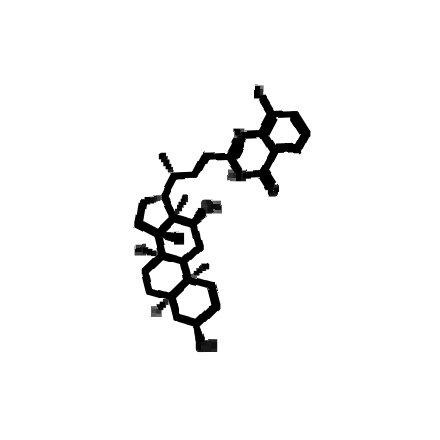 C[C@H](CCc1nc2c(F)cccc2c(=O)[nH]1)[C@H]1CC[C@H]2[C@@H]3CC[C@@H]4C[C@H](O)CC[C@]4(C)C3C[C@H](O)[C@]12C